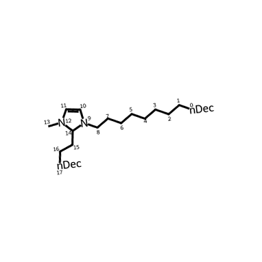 CCCCCCCCCCCCCCCCCCN1C=CN(C)C1CCCCCCCCCCCC